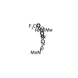 CNCCOCCN1CCC(n2cc3cc(NC(=O)c4cccc(C(F)(F)F)n4)c(OC)cc3n2)CC1